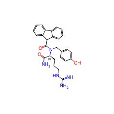 N=C(N)NCCC[C@@H](C(N)=O)N(Cc1ccc(O)cc1)C(=O)C1c2ccccc2-c2ccccc21